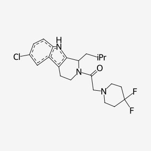 CC(C)CC1c2[nH]c3ccc(Cl)cc3c2CCN1C(=O)CN1CCC(F)(F)CC1